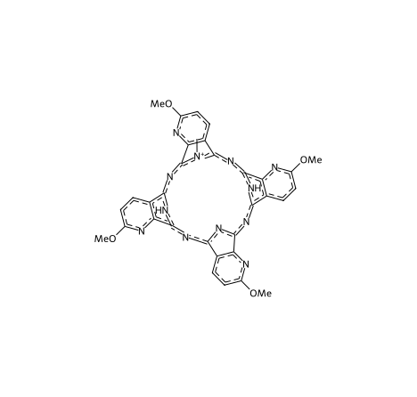 COc1ccc2c(n1)-c1nc-2nc2[nH]c(nc3[n+](C)c(nc4[nH]c(n1)c1ccc(OC)nc41)-c1ccc(OC)nc1-3)c1ccc(OC)nc21